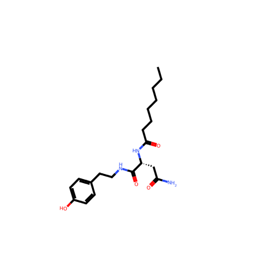 CCCCCCCC(=O)N[C@H](CC(N)=O)C(=O)NCCc1ccc(O)cc1